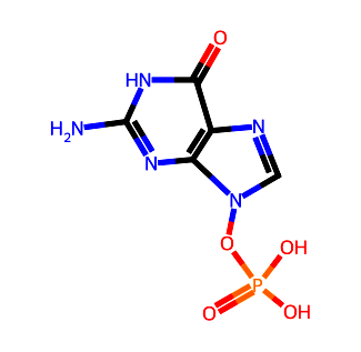 Nc1nc2c(ncn2OP(=O)(O)O)c(=O)[nH]1